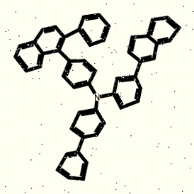 c1ccc(-c2ccc(N(c3ccc(-c4c(-c5ccccc5)ccc5ccccc45)cc3)c3cccc(-c4ccc5ccccc5c4)c3)cc2)cc1